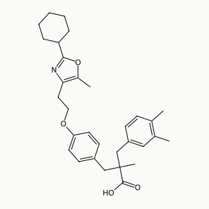 Cc1ccc(CC(C)(Cc2ccc(OCCc3nc(C4CCCCC4)oc3C)cc2)C(=O)O)cc1C